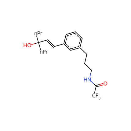 CCCC(O)(C=Cc1cccc(CCCNC(=O)C(F)(F)F)c1)CCC